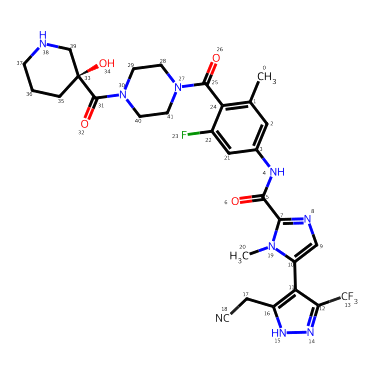 Cc1cc(NC(=O)c2ncc(-c3c(C(F)(F)F)n[nH]c3CC#N)n2C)cc(F)c1C(=O)N1CCN(C(=O)[C@]2(O)CCCNC2)CC1